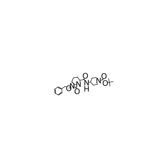 CC(C)(C)OC(=O)N1CCC(NC(=O)C2CCC3CN2C(=O)N3OCc2ccccc2)CC1